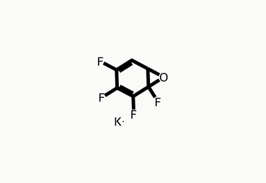 FC1=CC2OC2(F)C(F)=C1F.[K]